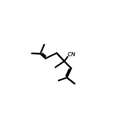 CC(C)=CCC(C)(C#N)C=C(C)C